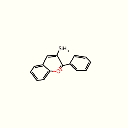 [SiH3]c1cc2ccccc2[o+]c1-c1ccccc1